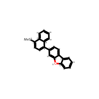 CSc1ccc(-c2ccc3c(c2)oc2ccccc23)c2ccccc12